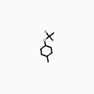 CC1CCC(OC(C)(F)F)CC1